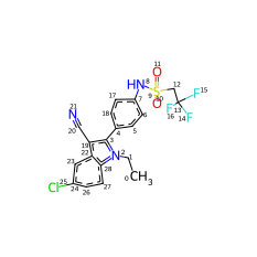 CCn1c(-c2ccc(NS(=O)(=O)CC(F)(F)F)cc2)c(C#N)c2cc(Cl)ccc21